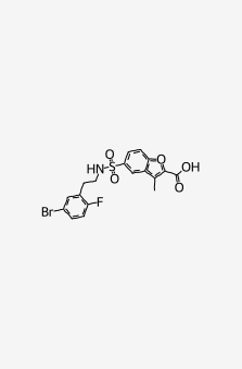 Cc1c(C(=O)O)oc2ccc(S(=O)(=O)NCCc3cc(Br)ccc3F)cc12